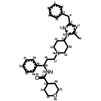 Cc1nc(Cc2ccccc2)nn1C1CCN(CCC(NC(=O)C2CCOCC2)c2ccccc2)CC1